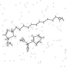 CCCCCCCCCCCCN1C=CN(C)C1.O=C(O)c1ccccc1